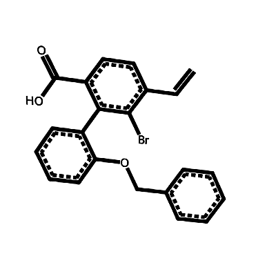 C=Cc1ccc(C(=O)O)c(-c2ccccc2OCc2ccccc2)c1Br